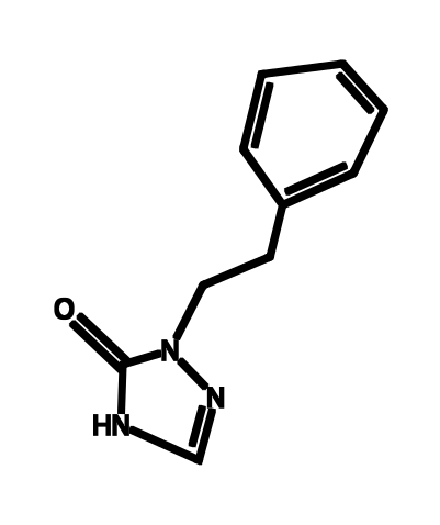 O=c1[nH]cnn1CCc1ccccc1